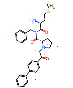 CSCC[C@H](N)C(=O)N(Cc1ccccc1)C(=O)[C@@H]1CCCN1CC(=O)c1ccc(-c2ccccc2)cc1